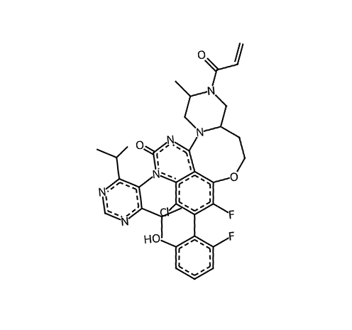 C=CC(=O)N1CC2CCOc3c(F)c(-c4c(O)cccc4F)c(Cl)c4c3c(nc(=O)n4-c3c(C(C)C)ncnc3C(C)C)N2CC1C